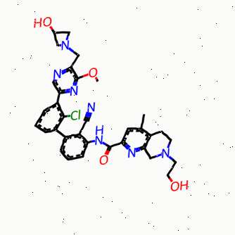 COc1nc(-c2cccc(-c3cccc(NC(=O)c4cc(C)c5c(n4)CN(CCO)CC5)c3C#N)c2Cl)cnc1CN1CC(O)C1